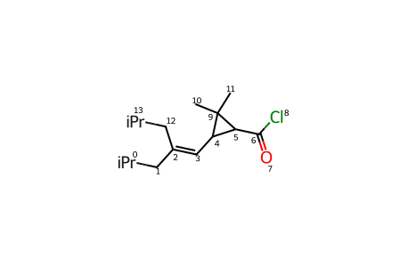 CC(C)CC(=CC1C(C(=O)Cl)C1(C)C)CC(C)C